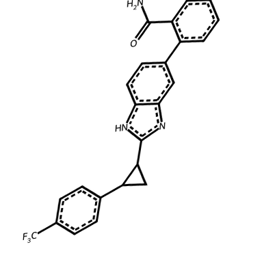 NC(=O)c1ccccc1-c1ccc2[nH]c(C3CC3c3ccc(C(F)(F)F)cc3)nc2c1